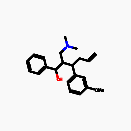 C=CCC(c1cccc(OC)c1)C(CN(C)C)C(O)c1ccccc1